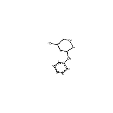 [O]C1COCC(Oc2cc[c]cc2)C1